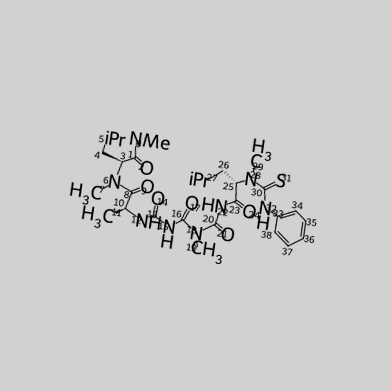 CNC(=O)[C@H](CC(C)C)N(C)C(=O)[C@H](C)NC(=O)NC(=O)N(C)C(=O)NC(=O)[C@H](CC(C)C)N(C)C(=S)Nc1ccccc1